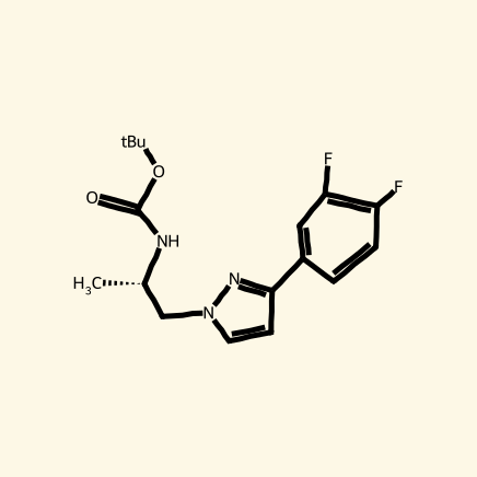 C[C@@H](Cn1ccc(-c2ccc(F)c(F)c2)n1)NC(=O)OC(C)(C)C